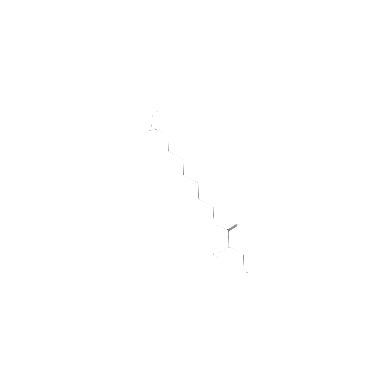 NC(CS)C(=O)OCCCCCCON(O)O